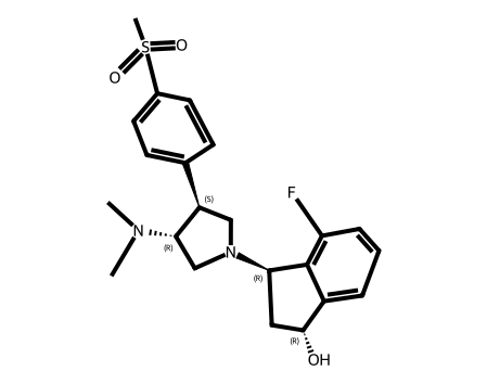 CN(C)[C@H]1CN([C@@H]2C[C@@H](O)c3cccc(F)c32)C[C@@H]1c1ccc(S(C)(=O)=O)cc1